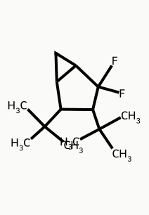 CC(C)(C)C1C2CC2C(F)(F)C1C(C)(C)C